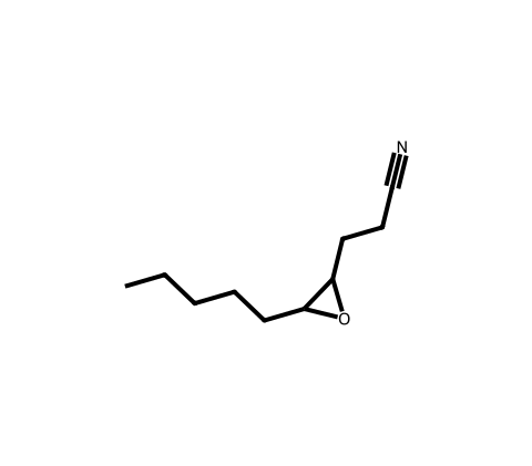 CCCCCC1OC1CCC#N